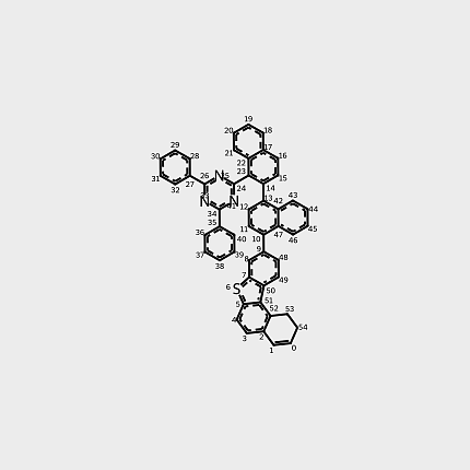 C1=Cc2ccc3sc4cc(-c5ccc(-c6ccc7ccccc7c6-c6nc(-c7ccccc7)nc(-c7ccccc7)n6)c6ccccc56)ccc4c3c2CC1